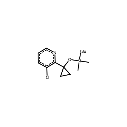 CC(C)(C)[Si](C)(C)OC1(c2ncccc2Cl)CC1